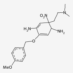 COc1ccc(COC2=CC(N)C(CCN(C)C)([N+](=O)[O-])C=C2N)cc1